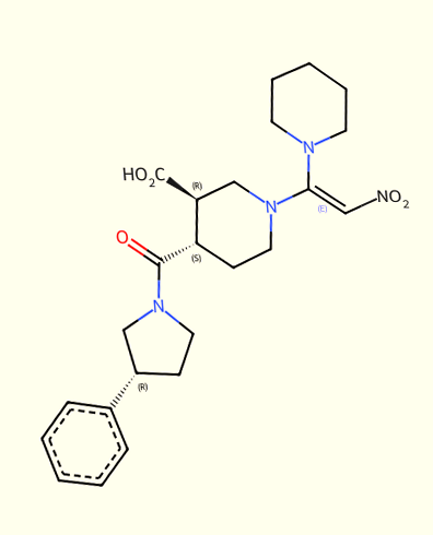 O=C(O)[C@H]1CN(/C(=C/[N+](=O)[O-])N2CCCCC2)CC[C@@H]1C(=O)N1CC[C@H](c2ccccc2)C1